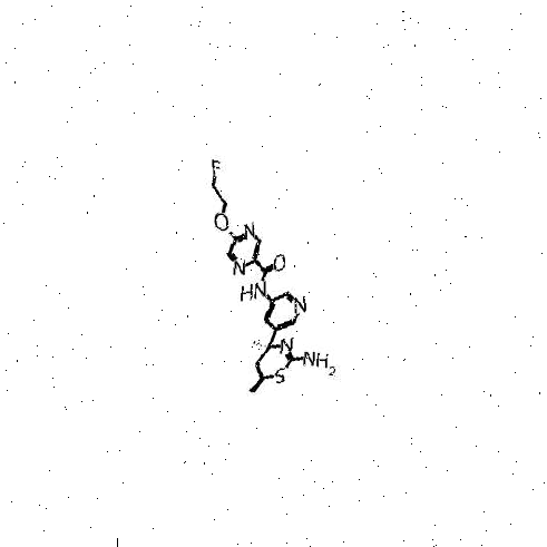 C=C1C[C@@](C)(c2cncc(NC(=O)c3cnc(OCCF)cn3)c2)N=C(N)S1